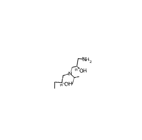 CC[C@@H](O)CN(C[C@H](O)CN)C(C)C